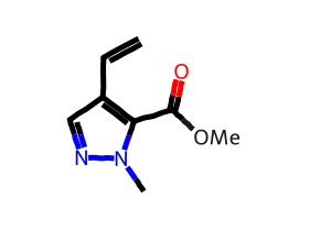 C=Cc1cnn(C)c1C(=O)OC